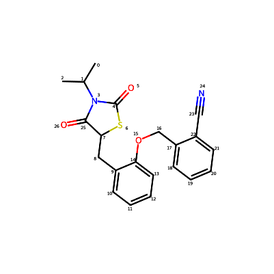 CC(C)N1C(=O)SC(Cc2ccccc2OCc2ccccc2C#N)C1=O